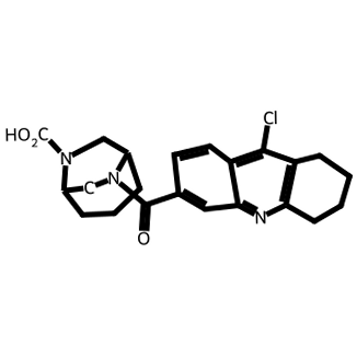 O=C(O)N1CC2CCCC1CN2C(=O)c1ccc2c(Cl)c3c(nc2c1)CCCC3